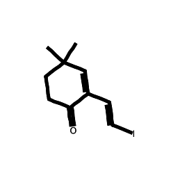 CC1(C)C=C(C=CI)C(=O)CC1